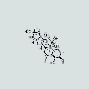 CC1(C)O[C@@H]2C[C@H]3[C@@H]4C[C@H](F)C5=C(Cl)C(=O)C=C[C@]5(C)[C@@]4(Cl)[C@@](O)(Cl)C[C@]3(C)[C@]2(C(=O)O)O1